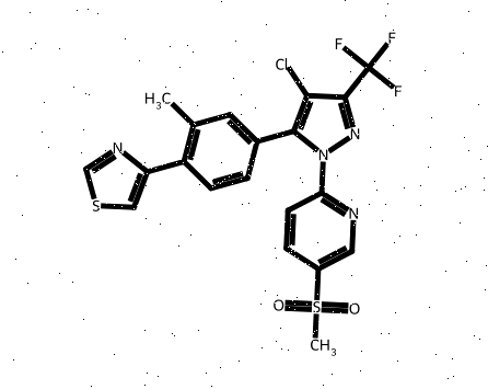 Cc1cc(-c2c(Cl)c(C(F)(F)F)nn2-c2ccc(S(C)(=O)=O)cn2)ccc1-c1cscn1